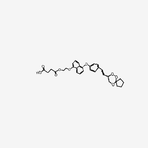 O=C(O)CCC(=O)OCCOc1cccc2c(Oc3ccc(C=CC4COC5(CCCC5)OO4)cc3)cccc12